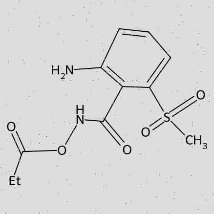 CCC(=O)ONC(=O)c1c(N)cccc1S(C)(=O)=O